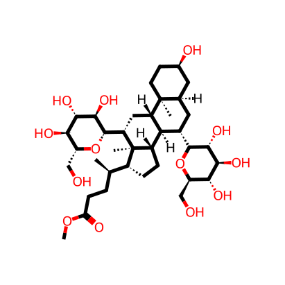 COC(=O)CC[C@@H](C)[C@H]1CC[C@H]2[C@@H]3[C@@H](C4O[C@H](CO)[C@@H](O)[C@H](O)[C@H]4O)C[C@@H]4C[C@H](O)CC[C@]4(C)[C@H]3C[C@@H]([C@@H]3O[C@H](CO)[C@@H](O)[C@H](O)[C@H]3O)[C@]12C